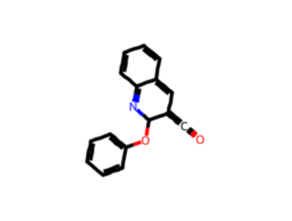 O=C=C1C=c2ccccc2=NC1Oc1ccccc1